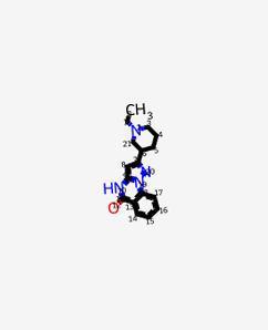 CCN1CCCC(c2cc3[nH]c(=O)c4ccccc4n3n2)C1